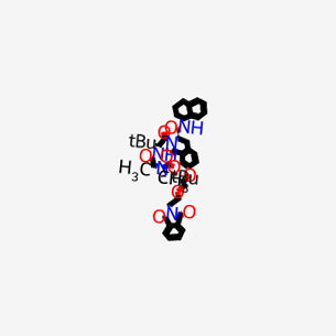 C[C@@H](C(=O)N[C@H](C(=O)N1Cc2cc(OCCOCCN3C(=O)c4ccccc4C3=O)ccc2C[C@H]1C(=O)N[C@@H]1CCCc2ccccc21)C(C)(C)C)N(C)C(=O)OC(C)(C)C